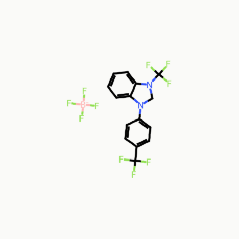 FC(F)(F)c1ccc(N2CN(C(F)(F)F)c3ccccc32)cc1.F[B-](F)(F)F